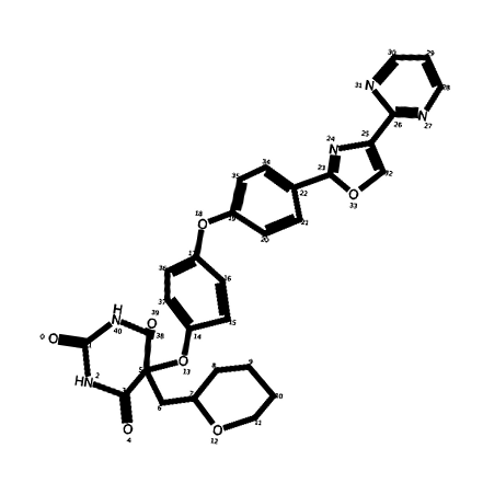 O=C1NC(=O)C(CC2CCCCO2)(Oc2ccc(Oc3ccc(-c4nc(-c5ncccn5)co4)cc3)cc2)C(=O)N1